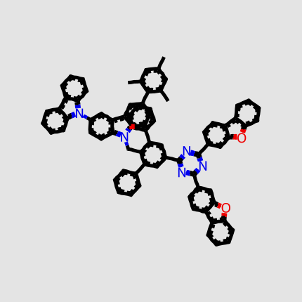 Cc1cc(C)c(-c2ccc3c(c2)c2cc(-n4c5ccccc5c5ccccc54)ccc2n3Cc2c(-c3ccccc3)cc(-c3nc(-c4ccc5c(c4)oc4ccccc45)nc(-c4ccc5c(c4)oc4ccccc45)n3)cc2-c2ccccc2)c(C)c1